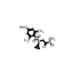 CCN(N)C(=O)CN(C1CC1)S(=O)(=O)c1c(C)cc(OC)cc1C